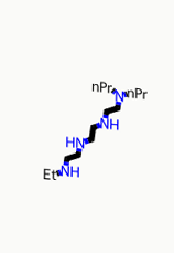 CCCN(CCC)CCNCCNCCNCC